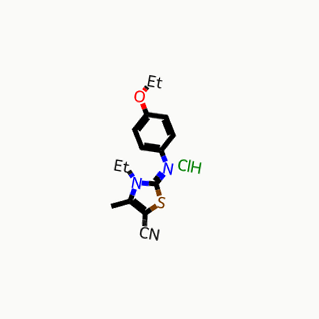 CCOc1ccc(N=c2sc(C#N)c(C)n2CC)cc1.Cl